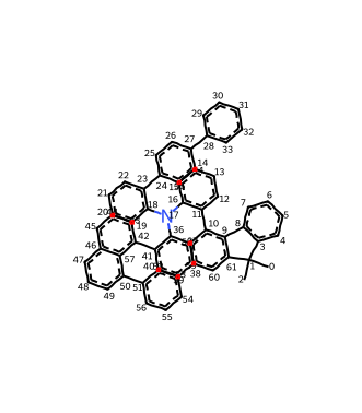 CC1(C)c2ccccc2-c2c(-c3ccccc3N(c3ccccc3-c3ccc(-c4ccccc4)cc3)c3ccccc3-c3cccc4cccc(-c5ccccc5)c34)cccc21